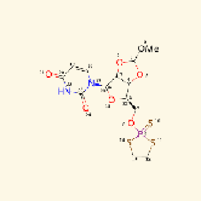 COC1OC2C(O1)[C@@H](COP1(=S)SCCS1)O[C@H]2n1ccc(=O)[nH]c1=O